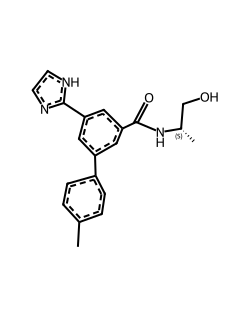 Cc1ccc(-c2cc(C(=O)N[C@@H](C)CO)cc(-c3ncc[nH]3)c2)cc1